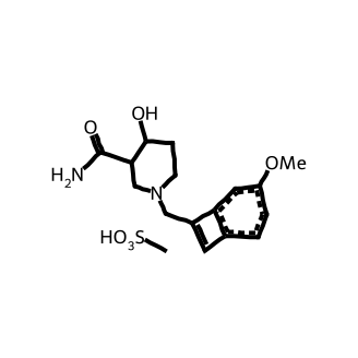 COc1ccc2c(c1)C(CN1CCC(O)C(C(N)=O)C1)=C2.CS(=O)(=O)O